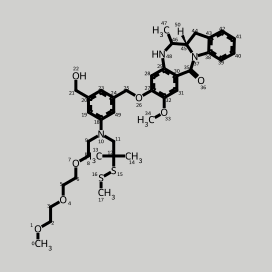 COCCOCCOCCN(CC(C)(C)SSC)c1cc(CO)cc(COc2cc3c(cc2OC)C(=O)N2c4ccccc4C[C@H]2C(C)N3)c1